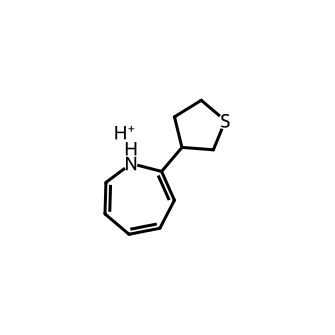 C1=CC=C(C2CCSC2)NC=C1.[H+]